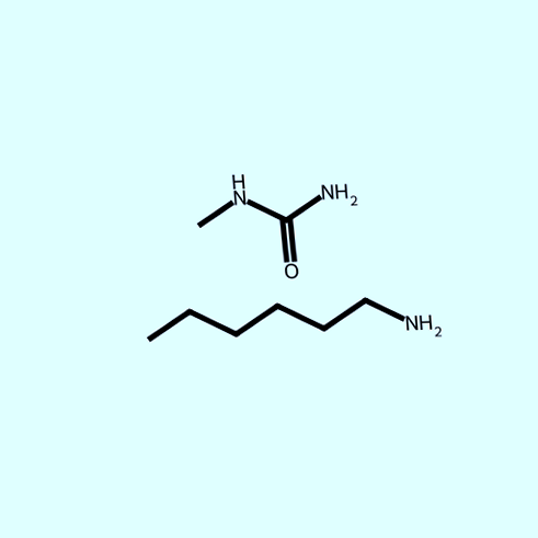 CCCCCCN.CNC(N)=O